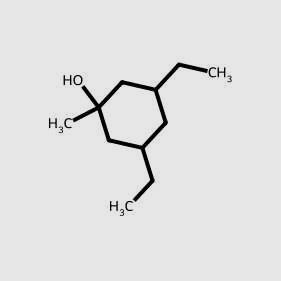 CCC1CC(CC)CC(C)(O)C1